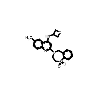 Cc1ccc2nc(N3CCS(=O)(=O)c4ccccc4C3)cc(NC3COC3)c2c1